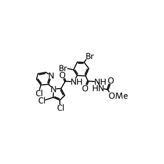 COC(=O)NNC(=O)c1cc(Br)cc(Br)c1NC(=O)c1cc(Cl)c(Cl)n1-c1ncccc1Cl